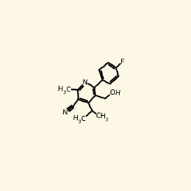 Cc1nc(-c2ccc(F)cc2)c(CO)c(C(C)C)c1C#N